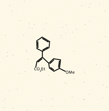 CCOC(=O)/C=C(/c1ccccc1)c1ccc(OC)cc1